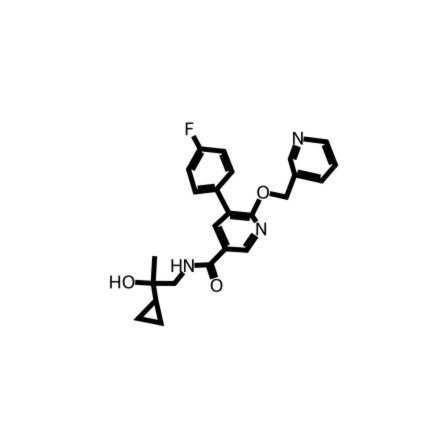 CC(O)(CNC(=O)c1cnc(OCc2cccnc2)c(-c2ccc(F)cc2)c1)C1CC1